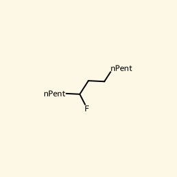 CCCCCCCC(F)CCCCC